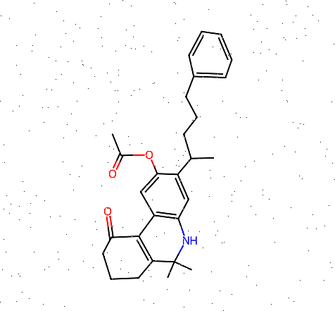 CC(=O)Oc1cc2c(cc1C(C)CCCc1ccccc1)NC(C)(C)C1=C2C(=O)CCC1